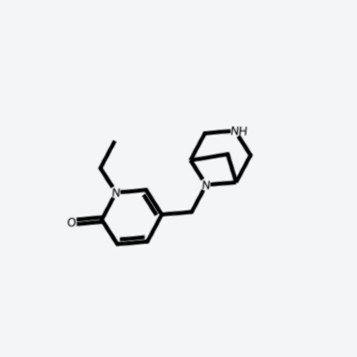 CCn1cc(CN2C3CNCC2C3)ccc1=O